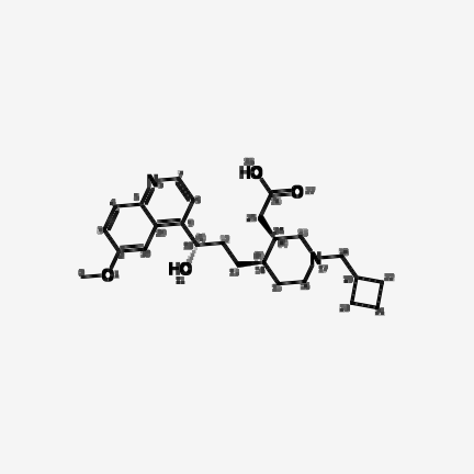 COc1ccc2nccc([C@@H](O)CC[C@@H]3CCN(CC4CCC4)C[C@@H]3CC(=O)O)c2c1